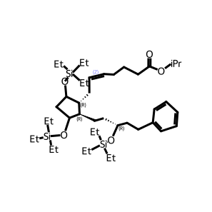 CC[Si](CC)(CC)OC1CC(O[Si](CC)(CC)CC)[C@H](CC[C@H](CCc2ccccc2)O[Si](CC)(CC)CC)[C@H]1C/C=C\CCCC(=O)OC(C)C